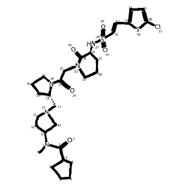 CN(C(=O)C1CCCC1)C1CCN(C[C@@H]2CCCN2C(=O)CN2CCC[C@H](NS(=O)(=O)/C=C/c3ccc(Cl)s3)C2=O)C1